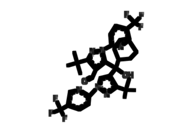 CC(C)(C)c1nn(-c2ccc(C(F)(F)F)cn2)cc1C(O)(c1c(C=O)c(C(C)(C)C)nn1-c1ccc(C(F)(F)F)cn1)C1CCCCC1